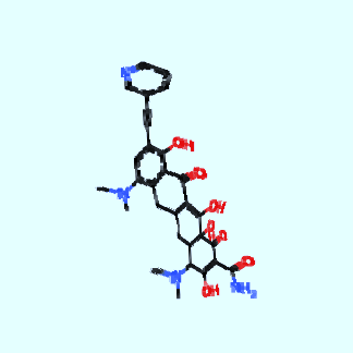 CN(C)c1cc(C#Cc2cccnc2)c(O)c2c1CC1CC3C(N(C)C)C(O)=C(C(N)=O)C(=O)C3(O)C(O)=C1C2=O